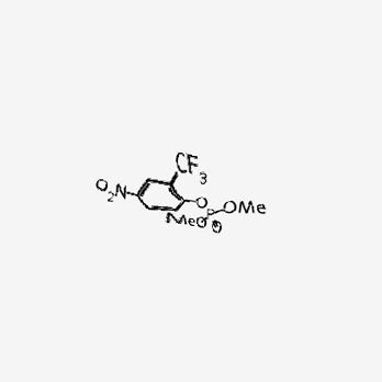 COP(=O)(OC)Oc1ccc([N+](=O)[O-])cc1C(F)(F)F